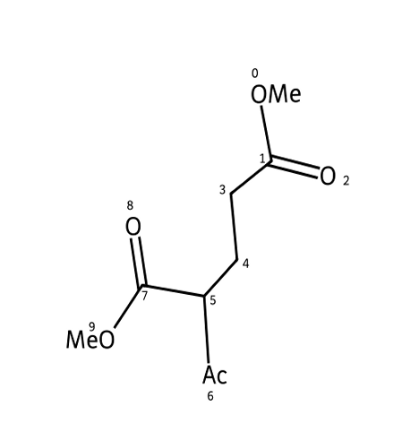 COC(=O)CCC(C(C)=O)C(=O)OC